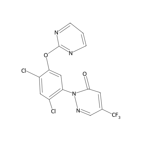 O=c1cc(C(F)(F)F)cnn1-c1cc(Oc2ncccn2)c(Cl)cc1Cl